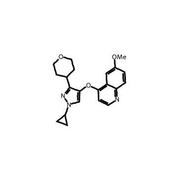 COc1ccc2nccc(Oc3cn(C4CC4)nc3C3CCOCC3)c2c1